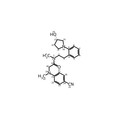 CN(CCc1ccccc1N1CC[C@H](O)C1)C(=O)CN(C)c1ccc(C#N)cc1